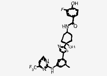 Cc1cc(Nc2nccc(C(F)(F)F)n2)cc(-c2cnc(C3(O)CCC(NC(=O)c4ccc(O)c(F)c4)CC3)s2)c1